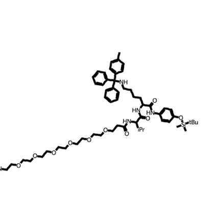 Cc1ccc(C(NCCCCC(NC(=O)C(NC(=O)CCOCCOCCOCCOCCOCCOCCN=[N+]=[N-])C(C)C)C(=O)Nc2ccc(O[Si](C)(C)C(C)(C)C)cc2)(c2ccccc2)c2ccccc2)cc1